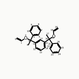 C=COC(C)(c1ccccc1)c1cccc(C(C)(OC=C)c2ccccc2)c1